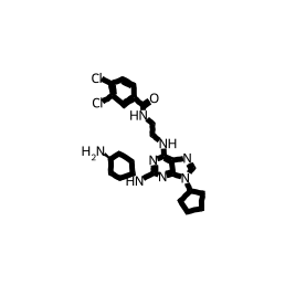 N[C@H]1CC[C@H](Nc2nc(NCCNC(=O)c3ccc(Cl)c(Cl)c3)c3ncn(C4CCCC4)c3n2)CC1